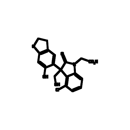 O=C(O)CN1C(=O)C(CO)(c2cc3c(cc2O)OCC3)c2c(Cl)cccc21